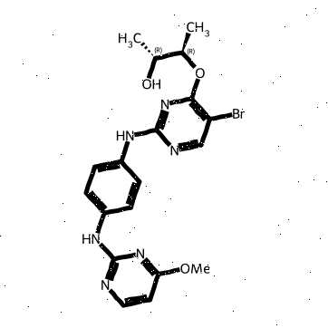 COc1ccnc(Nc2ccc(Nc3ncc(Br)c(O[C@H](C)[C@@H](C)O)n3)cc2)n1